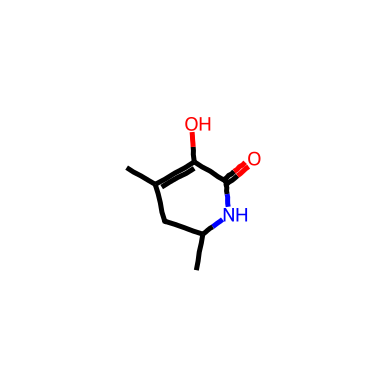 CC1=C(O)C(=O)NC(C)C1